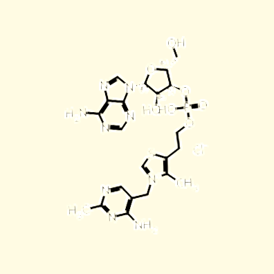 Cc1ncc(C[n+]2csc(CCOP(=O)(O)O[C@H]3[C@@H](O)[C@H](n4cnc5c(N)ncnc54)O[C@@H]3CO)c2C)c(N)n1.[Cl-]